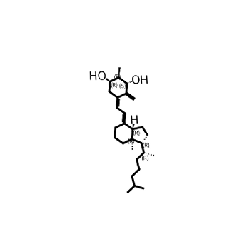 C=C1C(=CC=C2CCC[C@]3(C)[C@@H]([C@H](C)CCCC(C)C)CC[C@@H]23)C[C@@H](O)[C@@H](C)[C@@H]1O